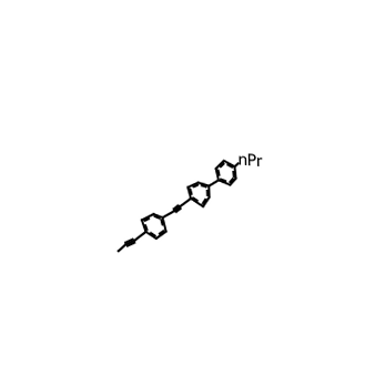 CC#Cc1ccc(C#Cc2ccc(-c3ccc(CCC)cc3)cc2)cc1